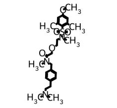 COc1cc(C)c(S(=O)(=O)N(C)CCOCC(=O)N(C)Cc2ccc(CCN(C)C)cc2)c(C)c1